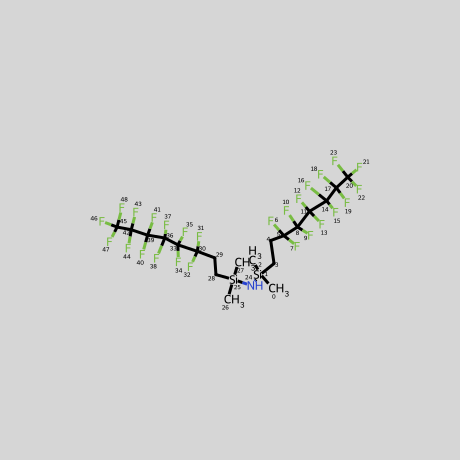 C[Si](C)(CCC(F)(F)C(F)(F)C(F)(F)C(F)(F)C(F)(F)C(F)(F)F)N[Si](C)(C)CCC(F)(F)C(F)(F)C(F)(F)C(F)(F)C(F)(F)C(F)(F)F